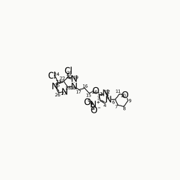 O=[N+]([O-])c1cn(C2CCCOC2)nc1OCCCn1nc(Cl)c2c(Cl)ncnc21